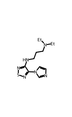 CCN(CC)CCCNc1nsnc1-n1ccnc1